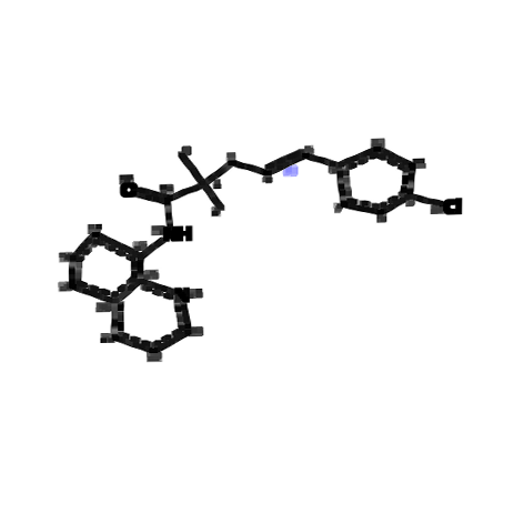 CC(C)(C/C=C/c1ccc(Cl)cc1)C(=O)Nc1cccc2cccnc12